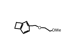 COCCOCc1ccc2c(c1)CC2